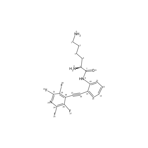 NCCCC[C@H](N)C(=O)Nc1ccccc1C#Cc1c(F)c(F)nc(F)c1F